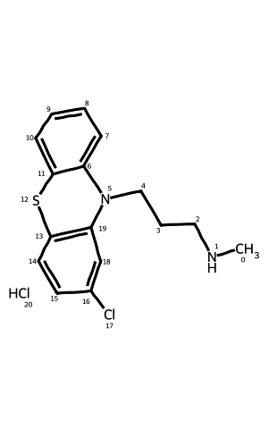 CNCCCN1c2ccccc2Sc2ccc(Cl)cc21.Cl